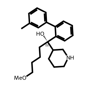 COCCCC[C@@](O)(c1ccccc1-c1cccc(C)c1)C1CCCNC1